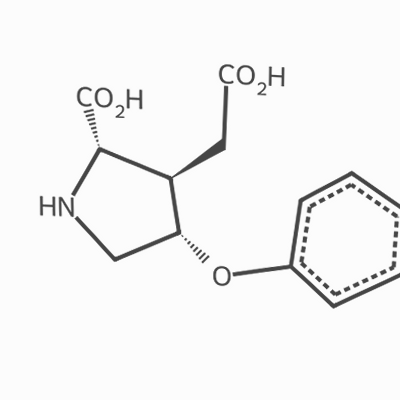 O=C(O)C[C@@H]1[C@@H](C(=O)O)NC[C@H]1Oc1ccccc1